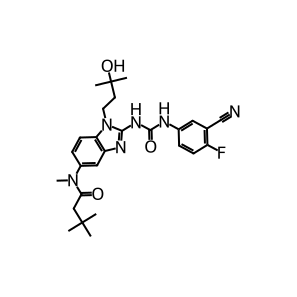 CN(C(=O)CC(C)(C)C)c1ccc2c(c1)nc(NC(=O)Nc1ccc(F)c(C#N)c1)n2CCC(C)(C)O